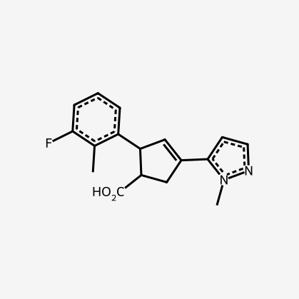 Cc1c(F)cccc1C1C=C(c2ccnn2C)CC1C(=O)O